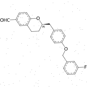 O=Cc1ccc2c(c1)CC[C@H](Cc1ccc(OCc3cccc(F)c3)cc1)O2